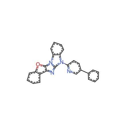 c1ccc(-c2ccc(-n3c4ccccc4n4c5oc6ccccc6c5nc34)nc2)cc1